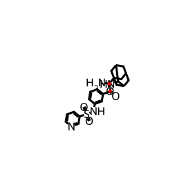 NC(=O)C12CC3CC(C1)C(NC(=O)c1cccc(NS(=O)(=O)c4cccnc4)c1)C(C3)C2